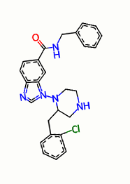 O=C(NCc1ccccc1)c1ccc2ncn(N3CCNCC3Cc3ccccc3Cl)c2c1